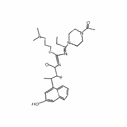 CC/C(=N\C(=NC(Cl)C(F)C(C)c1cc(O)cc2ccccc12)OCCCN(C)C)N1CCN(C(C)=O)CC1